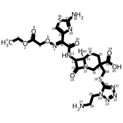 CCOC(=O)CON=C(C(=O)NC1C(=O)N2CC(CSc3nnnn3CCN)(C(=O)O)CS[C@H]12)c1csc(N)n1